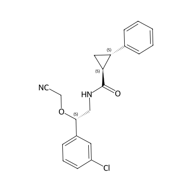 N#CCO[C@H](CNC(=O)[C@H]1C[C@@H]1c1ccccc1)c1cccc(Cl)c1